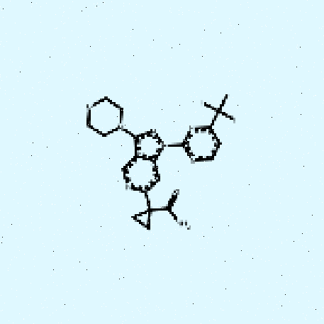 CC(F)(F)c1ccnc(-n2nc(N3CCOCC3)c3cnc(C4(C(N)=O)CC4)cc32)n1